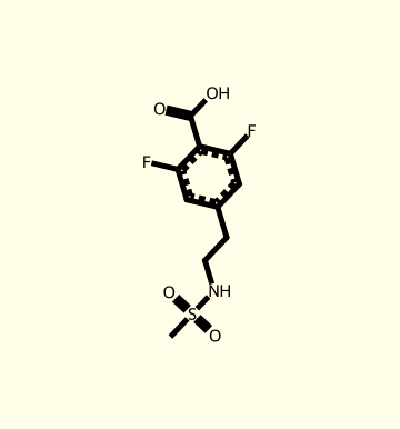 CS(=O)(=O)NCCc1cc(F)c(C(=O)O)c(F)c1